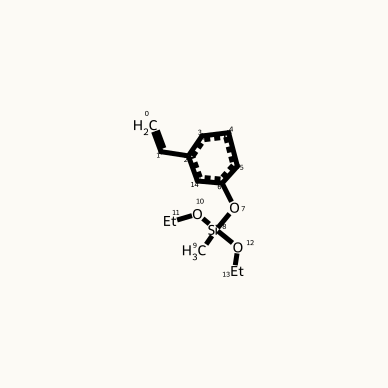 C=Cc1cccc(O[Si](C)(OCC)OCC)c1